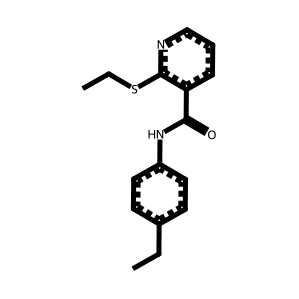 CCSc1ncccc1C(=O)Nc1ccc(CC)cc1